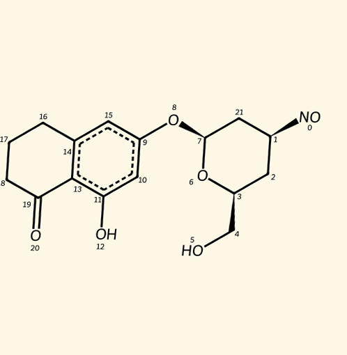 O=N[C@H]1C[C@@H](CO)O[C@@H](Oc2cc(O)c3c(c2)CCCC3=O)C1